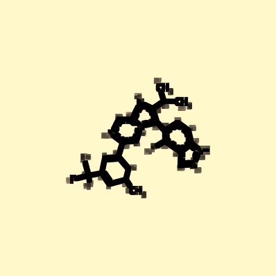 CC1C=C(C(F)(F)F)C=C(c2cn3c(-c4ccc5[nH]ncc5c4F)c(C(C)C)nc3cn2)C1